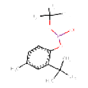 Cc1ccc(OP(O)OC(C)(C)C)c(C(C)(C)C)c1